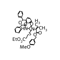 CCOC(=O)CCSC1C(NC(=O)C(OC(c2ccccc2)c2ccccc2)c2ccccc2)C(=O)N1C(C(=O)OCc1ccc(OC)cc1)=C(C)C